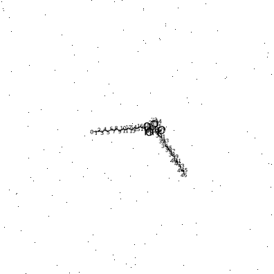 CCCCCCCCCCCCCCCCCCOC(=O)c1ccccc1NC(=O)CCCCCCCCCCCCCCCCC